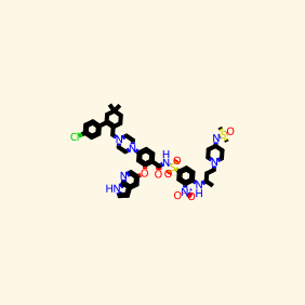 CC(CCN1CCC(N=S(C)(C)=O)CC1)Nc1ccc(S(=O)(=O)NC(=O)c2ccc(N3CCN(CC4=C(c5ccc(Cl)cc5)CC(C)(C)CC4)CC3)cc2Oc2cnc3[nH]ccc3c2)cc1[N+](=O)[O-]